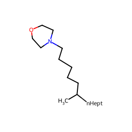 CCCCCCCC(C)CCCCCN1CCOCC1